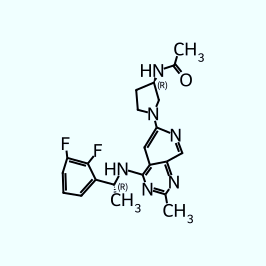 CC(=O)N[C@@H]1CCN(c2cc3c(N[C@H](C)c4cccc(F)c4F)nc(C)nc3cn2)C1